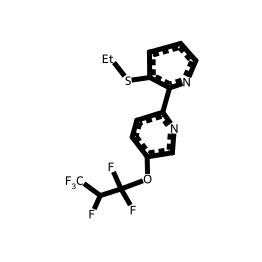 CCSc1cccnc1-c1ccc(OC(F)(F)C(F)C(F)(F)F)cn1